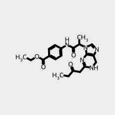 CCOC(=O)c1ccc(NC(=O)C(C)n2cnc3c2N=C(CC(=O)CC)NC3)cc1